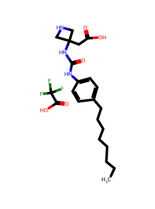 CCCCCCCCc1ccc(NC(=O)NC2(CC(=O)O)CNC2)cc1.O=C(O)C(F)(F)F